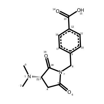 CN(C)[C@H]1CC(=O)N(Cc2ccc(C(=O)O)cc2)C1=O